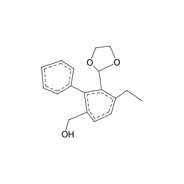 CCc1ccc(CO)c(-c2ccccc2)c1C1OCCO1